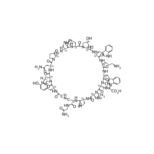 CCCC[C@H]1C(=O)N(C)[C@@H](CCCC)C(=O)N[C@@H](CC(C)C)C(=O)N[C@H](C(=O)NCC(N)=O)CNCC(=O)N[C@@H](Cc2ccc(O)cc2)C(=O)N(C)[C@@H](C)C(=O)N[C@@H](CC(N)=O)C(=O)N2CCC[C@H]2C(=O)N[C@@H](CN)C(=O)N[C@@H](CC(C)C)C(=O)N2C[C@H](O)C[C@H]2C(=O)N[C@@H](Cc2c[nH]c3ccccc23)C(=O)N[C@@H](CCCN)C(=O)N[C@@H](Cc2cn(CC(=O)O)c3ccccc23)C(=O)N1C